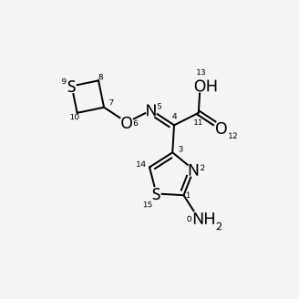 Nc1nc(/C(=N\OC2CSC2)C(=O)O)cs1